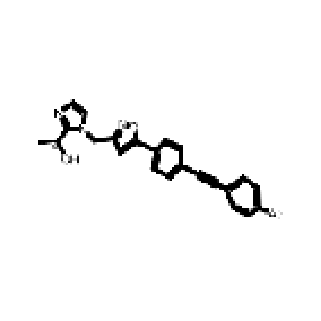 CC(=O)c1ccc(C#Cc2ccc(-c3cc(Cn4ccnc4[C@H](C)O)no3)cc2)cc1